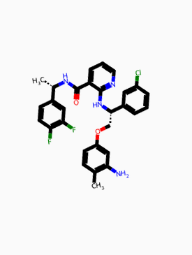 Cc1ccc(OC[C@H](Nc2ncccc2C(=O)N[C@@H](C)c2ccc(F)c(F)c2)c2cccc(Cl)c2)cc1N